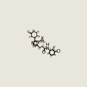 Cc1c(Cl)cccc1NC(=O)CCc1nnc(C2CCCC(C)C2)n1C1CC1